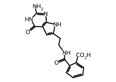 Nc1nc2[nH]c(CCNC(=O)c3ccccc3C(=O)O)cc2c(=O)[nH]1